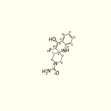 NC(=O)N1CCC2(CC1)Nc1ccccc1C(O)=C2F